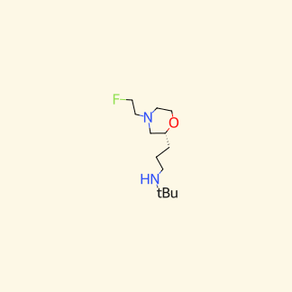 CC(C)(C)NCCC[C@@H]1CN(CCF)CCO1